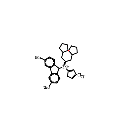 CC(C)(C)c1ccc2c(c1)-c1cc(C(C)(C)C)ccc1[CH]2[Zr+2]([C]1=CC=CC1)=[C](CC1CCCC1)CC1CCCC1.[Cl-].[Cl-]